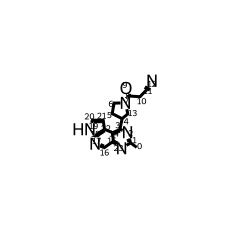 Cc1nc(C2CCN(C(=O)CC#N)C2)c2c(cnc3[nH]ccc32)n1